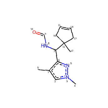 Cc1cn(C)nc1C(NC=O)C1(C)CC=CC1